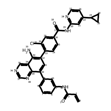 C=CC(=O)Nc1cccc(-c2cc(-c3ccc(C(=O)Nc4cc(C5CC5)ccn4)cc3Cl)c(N)c3cncnc23)c1